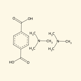 CN(C)C.CN(C)C.O=C(O)c1ccc(C(=O)O)cc1